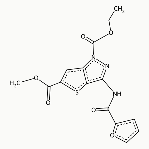 CCOC(=O)n1nc(NC(=O)c2ccco2)c2sc(C(=O)OC)cc21